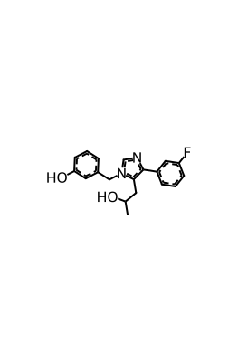 CC(O)Cc1c(-c2cccc(F)c2)ncn1Cc1cccc(O)c1